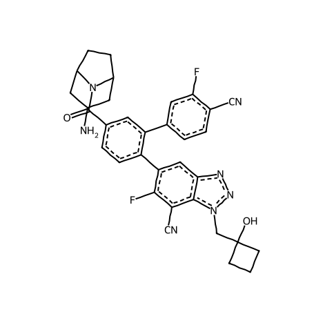 N#Cc1ccc(-c2cc(C(=O)N3C4CCC3CC(N)C4)ccc2-c2cc3nnn(CC4(O)CCC4)c3c(C#N)c2F)cc1F